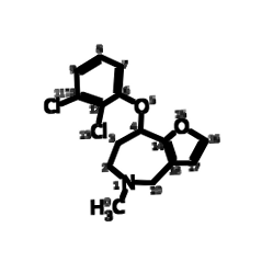 CN1CCC(Oc2cccc(Cl)c2Cl)c2occc2C1